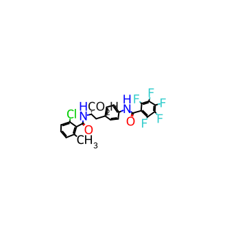 Cc1cccc(Cl)c1C(=O)N[C@@H](Cc1ccc(NC(=O)c2c(F)c(F)c(F)c(F)c2F)cc1)C(=O)O